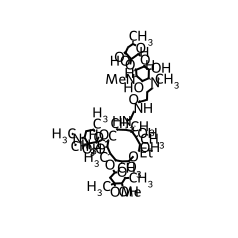 CC[C@H]1OC(=O)[C@H](C)[C@@H](OC2CC(C)(OC)C(O)C(C)O2)[C@H](C)[C@@H](OC2OC(C)CC(N(C)C)C2O)[C@](C)(O)C[C@@H](C)[C@H](NCCNC(=O)CCCN(C)[C@@H]2[C@H](O)[C@H](NC)[C@H]3O[C@@]4(O)C(=O)C[C@@H](C)O[C@H]4O[C@@H]3[C@H]2O)[C@H](C)[C@@H](O)[C@]1(C)O